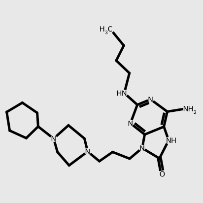 CCCCNc1nc(N)c2[nH]c(=O)n(CCCN3CCN(C4CCCCC4)CC3)c2n1